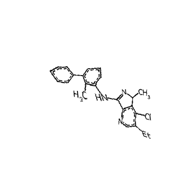 CCc1cnc2c(c1Cl)C(C)N=C2Nc1cccc(-c2ccccc2)c1C